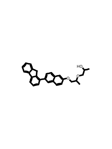 CC(O)COC(C)COc1ccc2cc(-c3cccc4c3Cc3ccccc3-4)ccc2c1